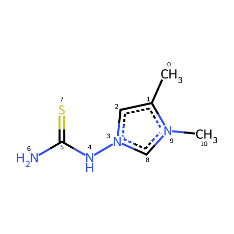 Cc1c[n+](NC(N)=S)cn1C